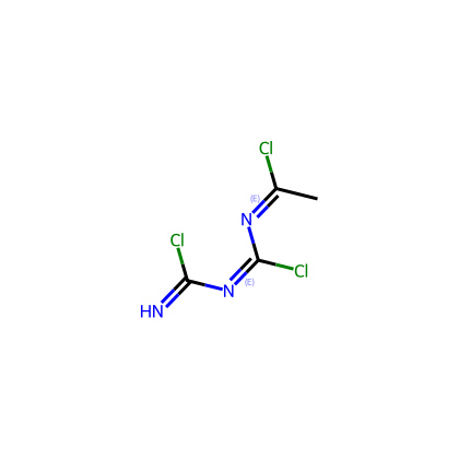 C/C(Cl)=N\C(Cl)=N/C(=N)Cl